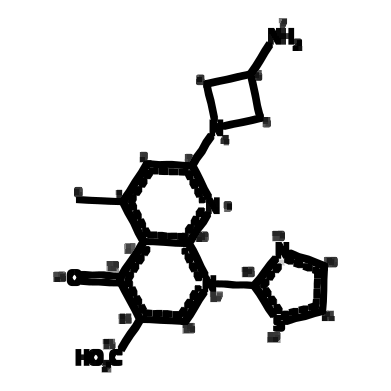 Cc1cc(N2CC(N)C2)nc2c1c(=O)c(C(=O)O)cn2-c1nccs1